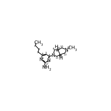 CCCCc1cc(N2C[C@H]3CN(C)C[C@H]3C2)nc(N)n1